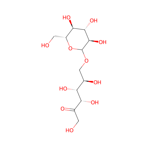 O=C(CO)[C@@H](O)[C@H](O)[C@H](O)COC1O[C@H](CO)[C@@H](O)[C@H](O)[C@H]1O